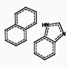 c1ccc2[nH]cnc2c1.c1ccc2ccccc2c1